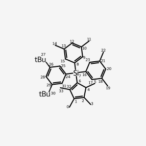 CC1=C(C)C(C)C([Si](c2cc(C)cc(C)c2)(c2cc(C)cc(C)c2)c2cc(C(C)(C)C)cc(C(C)(C)C)c2)=C1C